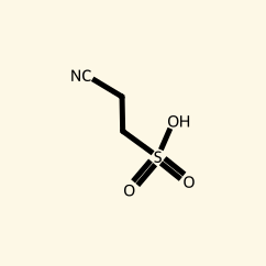 N#CCCS(=O)(=O)O